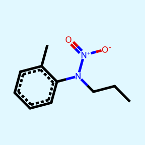 CCCN(c1ccccc1C)[N+](=O)[O-]